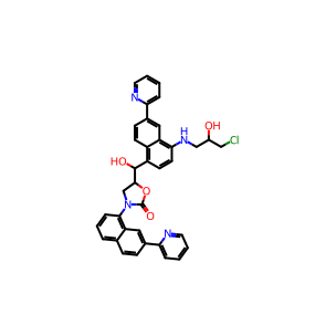 O=C1OC(C(O)c2ccc(NCC(O)CCl)c3cc(-c4ccccn4)ccc23)CN1c1cccc2ccc(-c3ccccn3)cc12